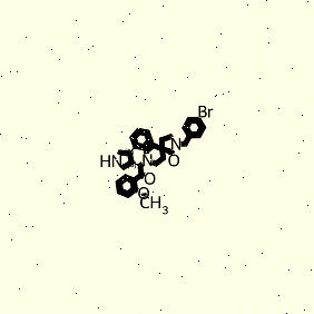 COc1ccccc1C(=O)C([C@@H]1CNC[C@@H]1c1ccccc1)N1CCC2(CCN(Cc3ccc(Br)cc3)C2=O)CC1